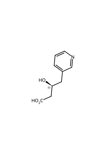 O=C(O)C[C@@H](O)Cc1cccnc1